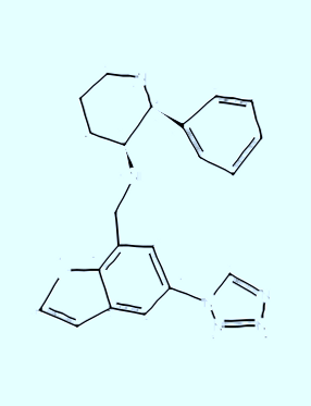 c1ccc([C@@H]2NCCC[C@@H]2NCc2cc(-n3cnnn3)cc3ccoc23)cc1